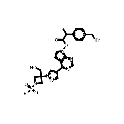 CCS(=O)(=O)N1CC(CC#N)(n2cc(-c3ncnc4c3ccn4OC(=O)C(C)c3ccc(CC(C)C)cc3)cn2)C1